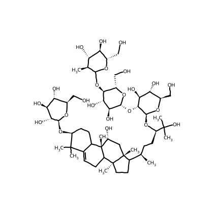 C[C@H](CC[C@@H](O[C@@H]1O[C@H](CO)[C@@H](O)[C@H](O)[C@H]1O[C@H]1O[C@@H](CO)[C@H](OC2O[C@@H](CO)[C@H](O)[C@@H](O)[C@@H]2C)[C@@H](O)[C@@H]1O)C(C)(C)O)C1CC[C@@]2(C)C3CC=C4C(CC[C@H](O[C@@H]5O[C@H](CO)[C@@H](O)[C@H](O)[C@H]5O)C4(C)C)[C@]3(C)[C@H](O)C[C@]12C